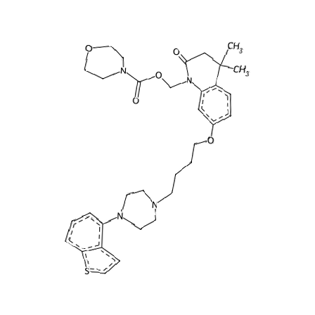 CC1(C)CC(=O)N(COC(=O)N2CCOCC2)c2cc(OCCCCN3CCN(c4cccc5sccc45)CC3)ccc21